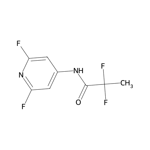 CC(F)(F)C(=O)Nc1cc(F)nc(F)c1